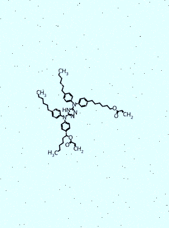 C=CC(=O)OCCCCCCc1ccc(N(c2ccc(CCCCCC)cc2)c2nnc(N(c3ccc(CCCCCC)cc3)c3ccc(C(CCCCC)OC(=O)C=C)cc3)[nH]2)cc1